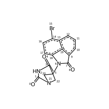 O=C1NC(=O)C2(N3C(=O)c4cccc5c(Br)ccc3c45)CN1C2